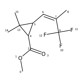 COC(=O)C1C(C=C(C)C(F)(F)F)C1(C)C